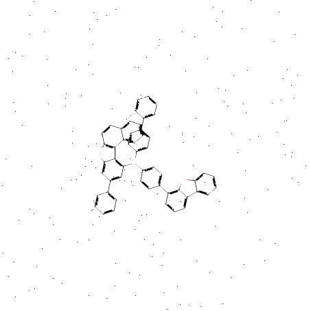 c1ccc(-c2ccc(N(c3ccc(-c4cccc5c4oc4ccccc45)cc3)c3cc(-c4ccccc4)cc4oc5ccc6ccccc6c5c34)cc2)cc1